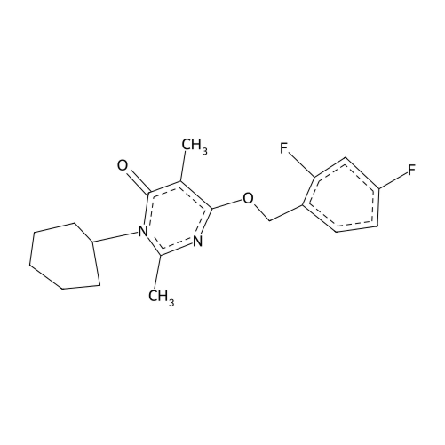 Cc1c(OCc2ccc(F)cc2F)nc(C)n(C2CCCCC2)c1=O